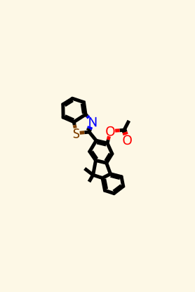 CC(=O)Oc1cc2c(cc1-c1nc3ccccc3s1)C(C)(C)c1ccccc1-2